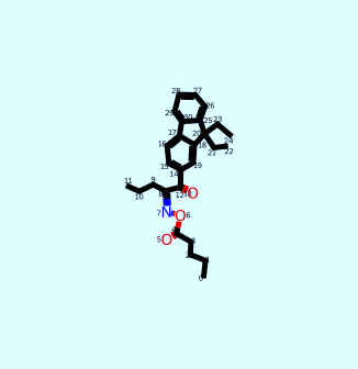 CCCCC(=O)O/N=C(/CCC)C(=O)c1ccc2c(c1)C(CC)(CC)c1ccccc1-2